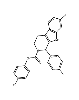 O=C(Oc1ccc(Cl)cc1)N1CCc2c([nH]c3cc(F)ccc23)C1c1ccc(F)cc1